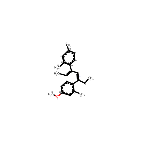 CC=C(/C=C(/CC)c1ccc(OC)cc1C)c1ccc(C)cc1C